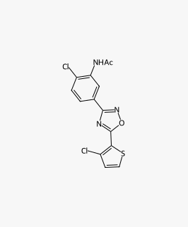 CC(=O)Nc1cc(-c2noc(-c3sccc3Cl)n2)ccc1Cl